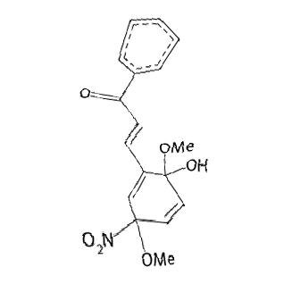 COC1(O)C=CC(OC)([N+](=O)[O-])C=C1/C=C/C(=O)c1ccccc1